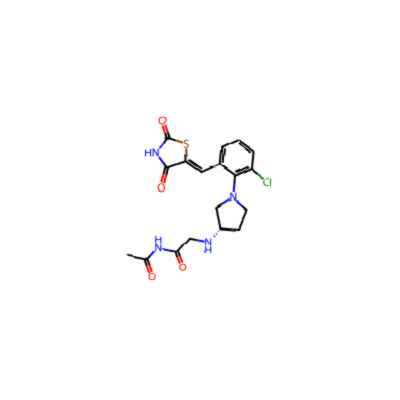 CC(=O)NC(=O)CN[C@H]1CCN(c2c(Cl)cccc2/C=C2\SC(=O)NC2=O)C1